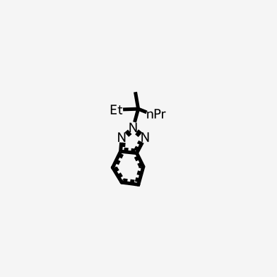 CCCC(C)(CC)n1nc2ccccc2n1